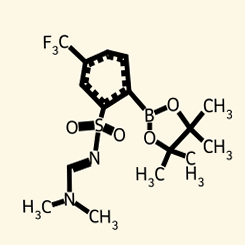 CN(C)/C=N/S(=O)(=O)c1cc(C(F)(F)F)ccc1B1OC(C)(C)C(C)(C)O1